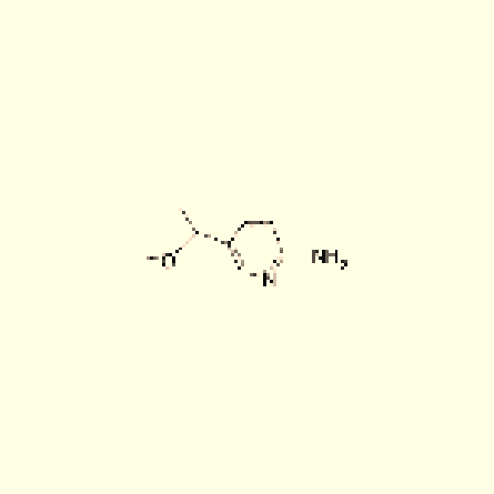 COC(C)c1ccc(N)nc1